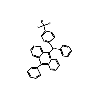 FC(F)(F)c1ccc(N(c2ccccc2)c2c3ccccc3c(-c3ccccc3)c3ccccc23)nc1